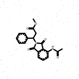 COC(=O)CC(c1ccccc1)N1C(=O)c2cccc(NC(C)=O)c2C1=O